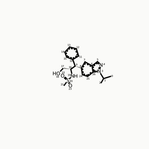 CC(C)n1ncc2cc([C@@H](c3ccccc3)[C@@H](CO)NS(C)(=O)=O)ccc21